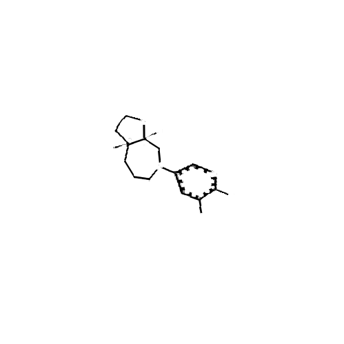 Fc1cc(N2CCC[C@@H]3CCN[C@@H]3C2)cnc1Cl